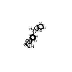 CC1(COc2ccc(CP(=O)(O)O)cc2)CCCCC1